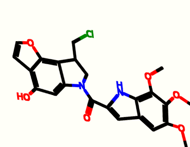 COc1cc2cc(C(=O)N3CC(CCl)c4c3cc(O)c3ccoc43)[nH]c2c(OC)c1OC